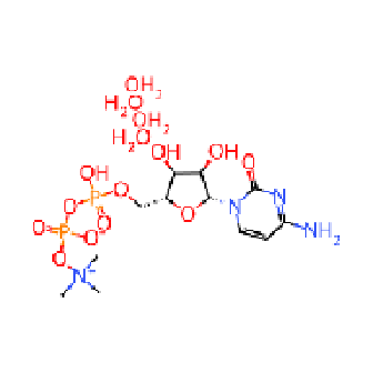 C[N+](C)(C)OP(=O)([O-])OP(=O)(O)OC[C@H]1O[C@@H](n2ccc(N)nc2=O)[C@H](O)[C@@H]1O.O.O.O.O